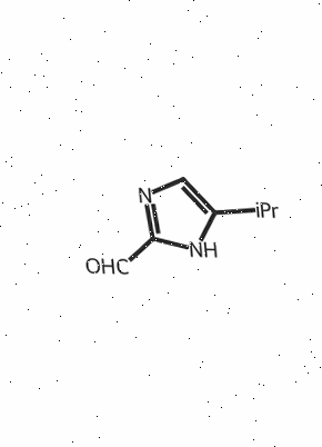 CC(C)c1cnc(C=O)[nH]1